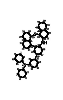 c1ccc(N(c2ccccc2)c2cccc(-c3ccc4c(c3)-c3cccc5cccc(c35)Sc3c(ccc5ccccc35)N4)c2)cc1